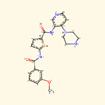 COc1cccc(C(=O)Nc2ccc(C(=O)Nc3cnccc3N3CCNCC3)s2)c1